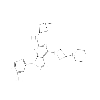 C[C@]1(O)C[C@@H](Nc2nc(N3CC(N4CCOCC4)C3)c3cnn(-c4cccc(C(F)(F)F)c4)c3n2)C1